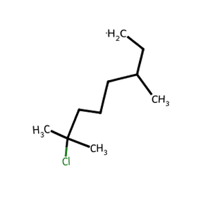 [CH2]CC(C)CCCC(C)(C)Cl